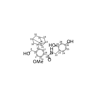 COc1cc(CO)c(C23CC4CC(CC(C4)C2)C3)cc1C(=O)NCc1ccc(O)cc1O